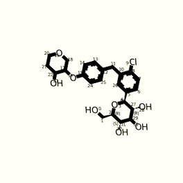 OC[C@H]1O[C@@H](c2ccc(Cl)c(Cc3ccc(OC4COCCC4O)cc3)c2)[C@H](O)C(O)[C@@H]1O